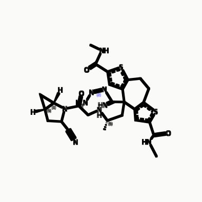 CNC(=O)c1cc2c(s1)CCc1sc(C(=O)NC)cc1C2(C[C@H](C)NCC(=O)N1C(C#N)C[C@@H]2C[C@@H]21)C(=N)/N=N\N